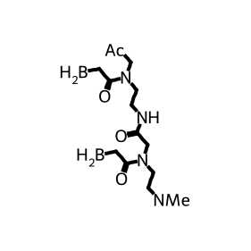 BCC(=O)N(CCNC(=O)CN(CCNC)C(=O)CB)CC(C)=O